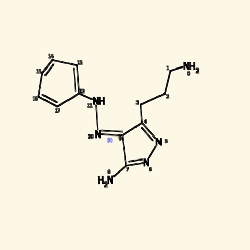 NCCCC1=NN=C(N)/C1=N/Nc1ccccc1